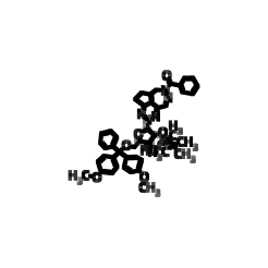 COc1ccc(C(OC[C@H]2O[C@@H](N3N=C4C=NN(C(=O)c5ccccc5)CC5=C4C(=N3)CC5)[C@H](O[Si](C)(C)C(C)(C)C)[C@@H]2O)(c2ccccc2)c2ccc(OC)cc2)cc1